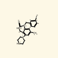 Cc1cc(N2CCNCC2)c2c(c1)N(Cc1cccc(F)c1)C(=O)NC2